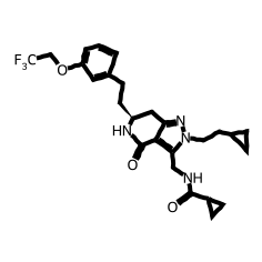 O=C1N[C@@H](CCc2cccc(OCC(F)(F)F)c2)Cc2nn(CCC3CC3)c(CNC(=O)C3CC3)c21